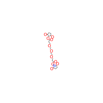 O=C(CCOCCOCCOCCC(=O)ON1C(=O)CCC1=O)OC1C(=O)CCC1=O